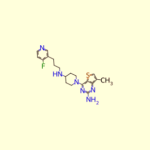 Cc1csc2c(N3CCC(NCCCc4cnccc4F)CC3)nc(N)nc12